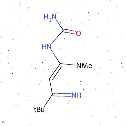 CN/C(=C\C(=N)C(C)(C)C)NC(N)=O